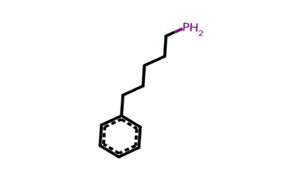 PCCCCCc1ccccc1